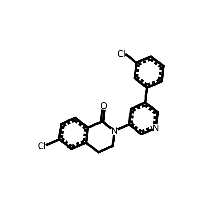 O=C1c2ccc(Cl)cc2CCN1c1cncc(-c2cccc(Cl)c2)c1